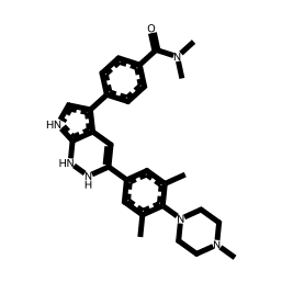 Cc1cc(C2=Cc3c(-c4ccc(C(=O)N(C)C)cc4)c[nH]c3NN2)cc(C)c1N1CCN(C)CC1